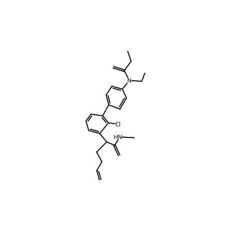 C=CCCC(C(=C)NC)c1cccc(-c2ccc(N(CC)C(=C)CC)cc2)c1Cl